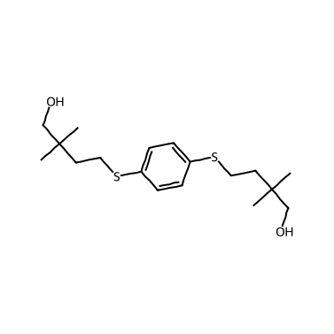 CC(C)(CO)CCSc1ccc(SCCC(C)(C)CO)cc1